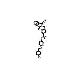 O=C(Nc1ccc(OCc2ccc(Cl)cc2)nc1)c1ccc(CN2C(=O)C3C4CCC(O4)C3C2=O)nc1